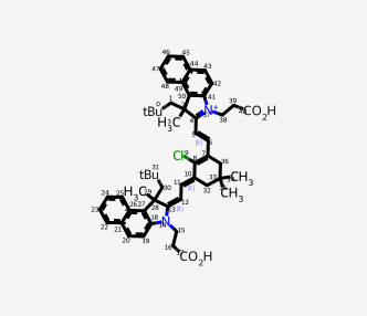 CC(C)(C)CC1(C)C(/C=C/C2=C(Cl)C(=C/C=C3/N(CCC(=O)O)c4ccc5ccccc5c4C3(C)CC(C)(C)C)/CC(C)(C)C2)=[N+](CCC(=O)O)c2ccc3ccccc3c21